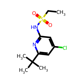 CCS(=O)(=O)Nc1cc(Cl)cc(C(C)(C)C)n1